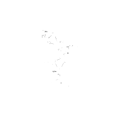 COc1cc(-c2nc(Nc3cnc4[nH]ncc4c3)n(C)n2)ccc1C(=O)NC(C)C